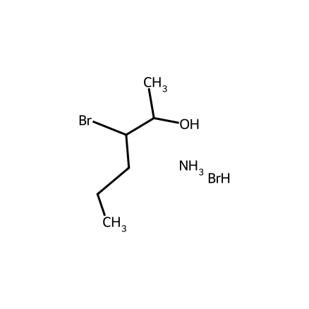 Br.CCCC(Br)C(C)O.N